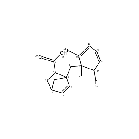 CC1(CC23C=CC(CC2C(=O)O)C3)C(F)=CC=CC1F